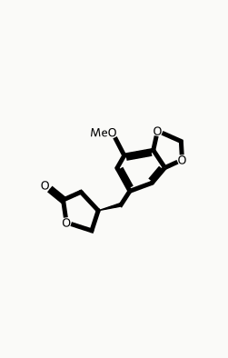 COc1cc(C[C@H]2COC(=O)C2)cc2c1OCO2